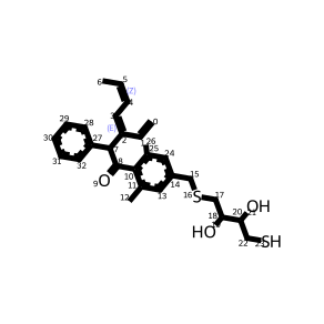 C=C/C(=C\C=C/C)C(C(=O)c1c(C)cc(CSCC(O)C(O)CS)cc1C)c1ccccc1